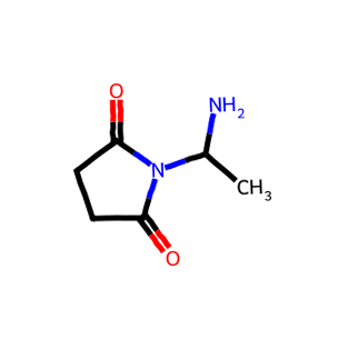 CC(N)N1C(=O)CCC1=O